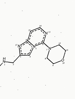 CNCc1cn2c(N3CCOCC3)nccc2n1